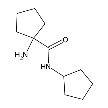 NC1(C(=O)NC2CCCC2)CCCC1